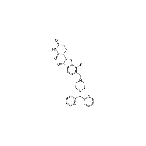 O=C1CCC(N2Cc3c(ccc(CN4CCN(C(c5ccccn5)c5ccccn5)CC4)c3F)C2=O)C(=O)N1